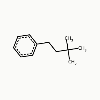 [CH2]C(C)(C)CCc1ccccc1